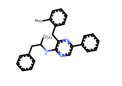 CCOC(=O)C(Cc1ccccc1)Nc1ncc(-c2ccccc2)nc1Cc1ccccc1OC